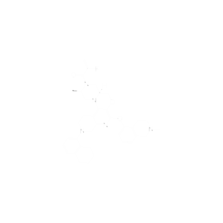 C=C(F)C(=O)N1C[C@@H]2COc3c(Oc4cccc5c4CCN(C)C5)nc4c(c3N2C[C@H]1C)CCN(c1cccc2c1CCCC2)C4